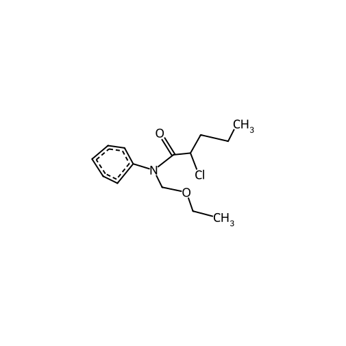 CCCC(Cl)C(=O)N(COCC)c1ccccc1